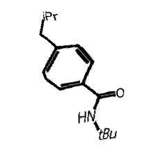 CC(C)Cc1ccc(C(=O)NC(C)(C)C)cc1